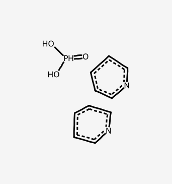 O=[PH](O)O.c1ccncc1.c1ccncc1